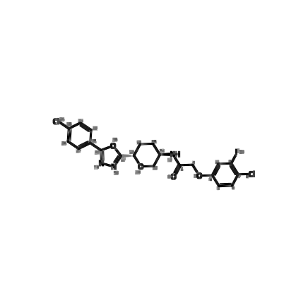 O=C(COc1ccc(Cl)c(F)c1)N[C@@H]1CC[C@@H](c2nnc(-c3ccc(Cl)cc3)o2)OC1